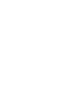 CCC(CC=Cc1ccc(C)cc1)C(C)=O